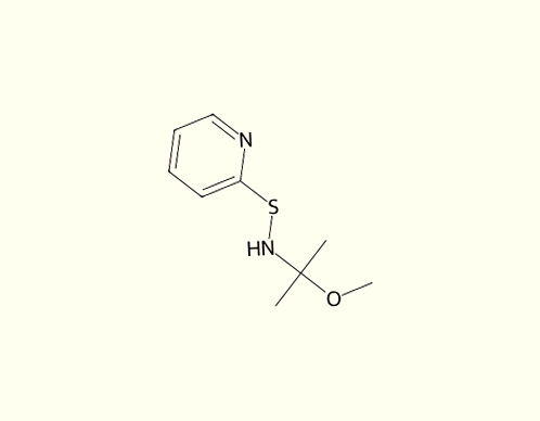 COC(C)(C)NSc1ccccn1